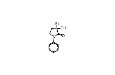 [CH2]C[C@@]1(O)CCN(c2ccccc2)C1=O